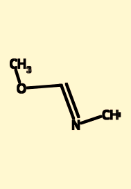 [CH]/N=C/OC